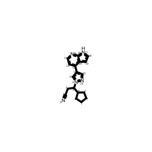 N#CCC(C1CCCC1)n1cc(-c2ccnc3[nH]ccc23)cn1